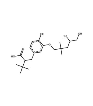 CC(C)(COc1cc(CC(C(=O)O)C(C)(C)C)ccc1O)CC(O)CO